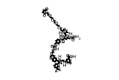 CC(C)C(NC(=O)CCOCCOCCOCCOCCN1C(=O)C=CC1=O)C(=O)NC(CCCNC(N)=O)C(=O)Nc1ccc(COC(=O)NCCOc2cnc3ccc(-c4[nH]c(CNc5cc(F)cc(C(=O)O)c5)nc4-c4cccc(C(F)F)n4)cc3c2)cc1